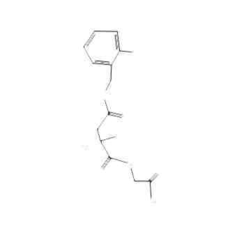 N[C@@](Cl)(CC(=O)OCc1ccccc1Cl)C(=O)NCC(=O)O